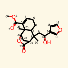 COC(=O)C1=CCCC2C(C)(CC(O)c3ccoc3)C3CC(OC3=O)C12C